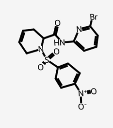 O=C(Nc1cccc(Br)n1)C1CC=CCN1S(=O)(=O)c1ccc([N+](=O)[O-])cc1